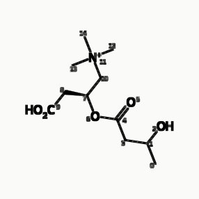 CC(O)CC(=O)O[C@@H](CC(=O)O)C[N+](C)(C)C